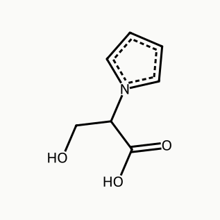 O=C(O)C(CO)n1cccc1